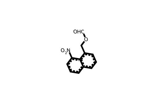 O=COCc1cccc2cccc([N+](=O)[O-])c12